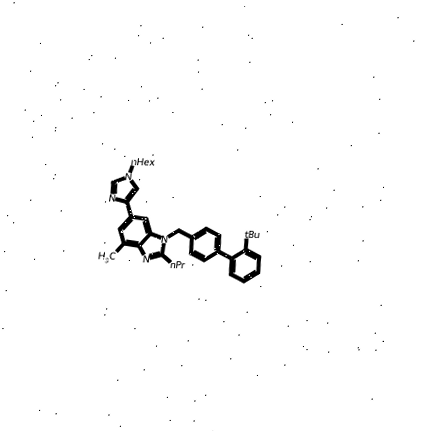 CCCCCCn1cnc(-c2cc(C)c3nc(CCC)n(Cc4ccc(-c5ccccc5C(C)(C)C)cc4)c3c2)c1